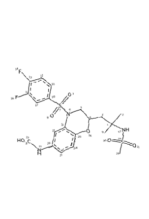 CC(C)(CC1CN(S(=O)(=O)c2ccc(F)c(F)c2)c2cc(NC(=O)O)ccc2O1)NS(C)(=O)=O